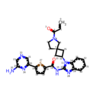 C=CC(=O)N1CC[C@]2(C1)C[C@H](n1c(NC(=O)c3ccc(-c4cncc(N)n4)s3)nc3ccccc31)C2